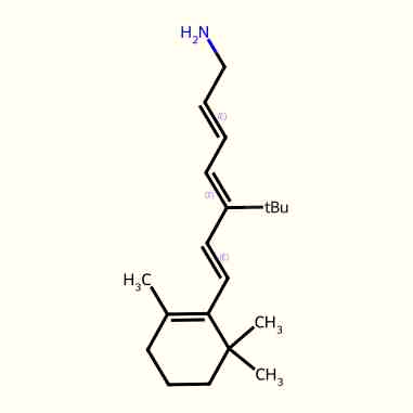 CC1=C(/C=C/C(=C/C=C/CN)C(C)(C)C)C(C)(C)CCC1